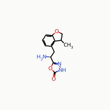 CC1COc2cccc(C[C@H](N)c3n[nH]c(=O)o3)c21